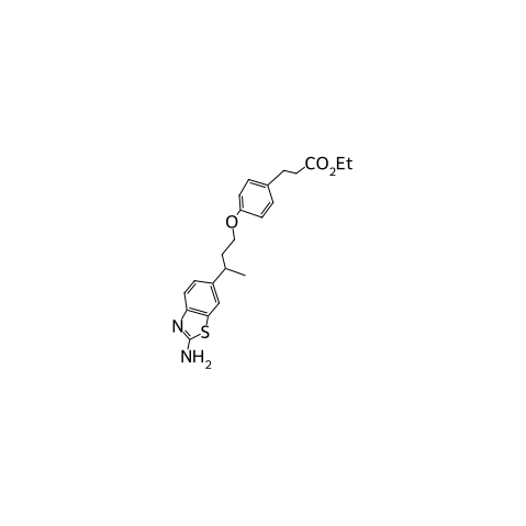 CCOC(=O)CCc1ccc(OCCC(C)c2ccc3nc(N)sc3c2)cc1